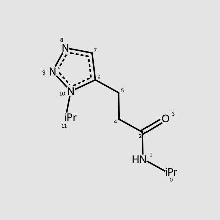 CC(C)NC(=O)CCc1cnnn1C(C)C